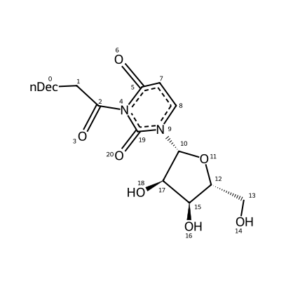 CCCCCCCCCCCC(=O)n1c(=O)ccn([C@@H]2O[C@H](CO)[C@@H](O)[C@H]2O)c1=O